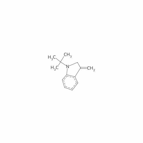 C=C1CN(C(C)(C)C)c2ccccc21